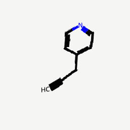 C#C[CH]c1ccncc1